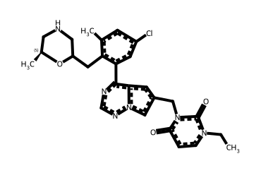 CCn1ccc(=O)n(Cc2cc3c(-c4cc(Cl)cc(C)c4CC4CNC[C@H](C)O4)ncnn3c2)c1=O